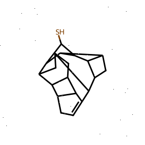 SC1C2C3CC4CC5C6C(=CCC6C53)C4C3CC4C3C1C42